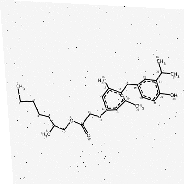 CCCCCC(C)COC(=O)COc1cc(C)c(Cc2ccc(O)c(C(C)C)c2)c(C)c1